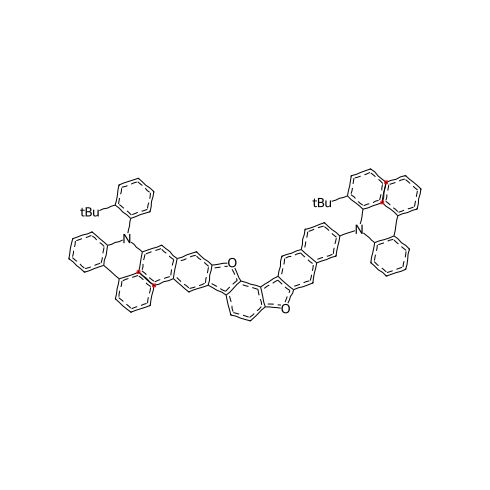 CC(C)(C)c1ccccc1N(c1ccc2cc3c(cc2c1)oc1c3ccc2oc3cc4cc(N(c5ccccc5-c5ccccc5)c5ccccc5C(C)(C)C)ccc4cc3c21)c1ccccc1-c1ccccc1